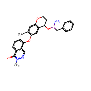 Cn1ncc2c(Oc3cc4c(cc3[N+](=O)[O-])OCCC4OP(N)Cc3ccccc3)cccc2c1=O